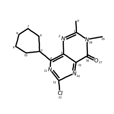 Cc1nc2c(C3CCCCC3)nc(Cl)nc2c(=O)n1C